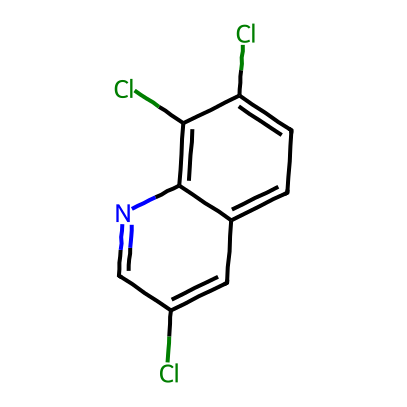 Clc1cnc2c(Cl)c(Cl)ccc2c1